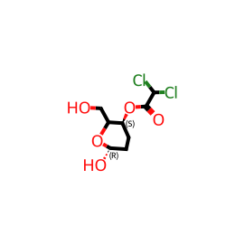 O=C(O[C@H]1CC[C@H](O)OC1CO)C(Cl)Cl